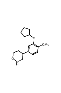 COc1ccc(C2CCONC2)cc1OC1CCCC1